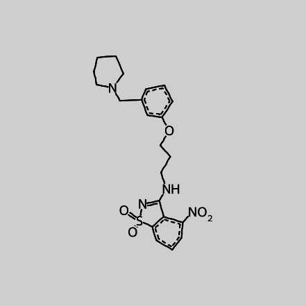 O=[N+]([O-])c1cccc2c1C(NCCCOc1cccc(CN3CCCCC3)c1)=NS2(=O)=O